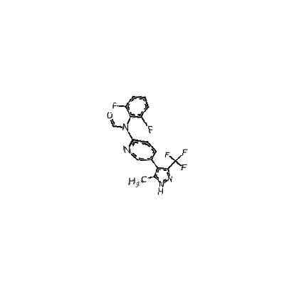 Cc1[nH]nc(C(F)(F)F)c1-c1ccc(N(C=O)c2c(F)cccc2F)nc1